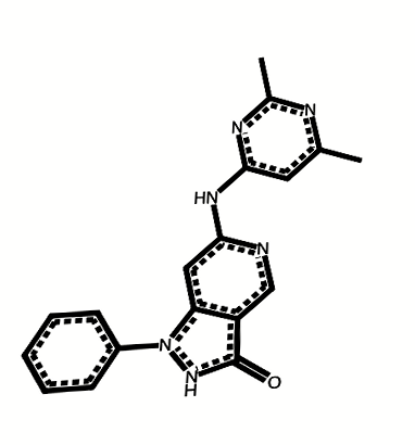 Cc1cc(Nc2cc3c(cn2)c(=O)[nH]n3-c2ccccc2)nc(C)n1